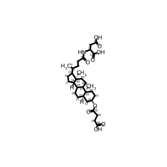 CC(CCC(=O)NC(CC(=O)O)C(=O)O)C1CC[C@H]2C3CC[C@@H]4C[C@H](OC(=O)CCC(=O)O)CC[C@]4(C)C3CC[C@]12C